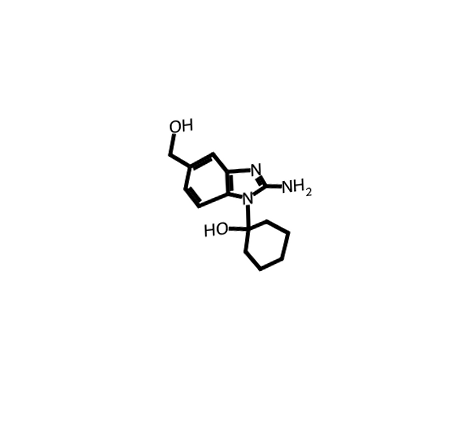 Nc1nc2cc(CO)ccc2n1C1(O)CCCCC1